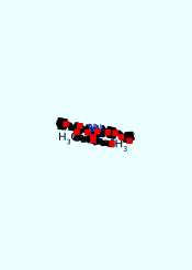 C(=Cc1ccc(-c2cnc3c(ccc4cc(-c5ccc(C=Cc6ccccc6)cc5)cnc43)c2)cc1)c1ccccc1.CCCCCCNCCCCCC